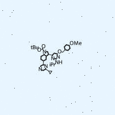 COc1ccc(COc2cc(-c3cn(C(=O)OC(C)(C)C)c4ccc(-c5cncc(C6CC6)n5)cc34)nc(NC(C)C)n2)cc1